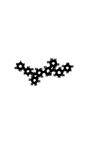 c1ccc(-c2ccc(-n3c4ccccc4c4cc(-c5cnc6c(c5)c5ccccc5n6-c5cccc(-c6ccccc6)c5)ccc43)cc2)cc1